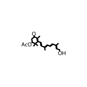 CC(=O)OC1CC(=O)C(C)=C(C=CC(C)=CC=CC(C)=CCO)C1(C)C